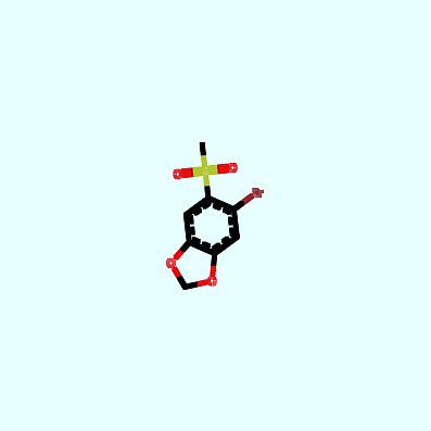 CS(=O)(=O)c1cc2c(cc1Br)OCO2